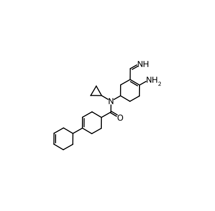 N=CC1=C(N)CCC(N(C(=O)C2CC=C(C3CC=CCC3)CC2)C2CC2)C1